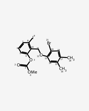 COC(=O)Oc1cccc(I)c1COc1cc(C)c(C)cc1Br